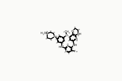 COc1cc(Nc2ncc(F)c(Nc3ccc4c(n3)NCCO4)n2)cc(N2CCN(C)CC2)c1